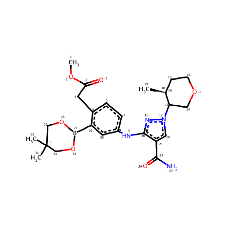 COC(=O)Cc1ccc(Nc2nn(C3COCC[C@@H]3C)cc2C(N)=O)cc1B1OCC(C)(C)CO1